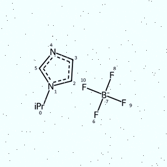 CC(C)n1ccnc1.F[B-](F)(F)F